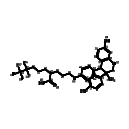 CC1(c2ccc(O)cc2)COc2cc(O)ccc2C1c1ccc(OCCCC(CCCC(F)(F)C(F)(F)F)C(=O)O)cc1